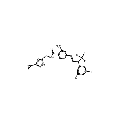 Cc1cc(C=CC(c2cc(Cl)cc(Cl)c2)C(F)(F)F)ccc1C(=O)NCc1nnc(C2CC2)o1